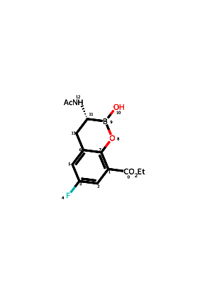 CCOC(=O)c1cc(F)cc2c1OB(O)[C@@H](NC(C)=O)C2